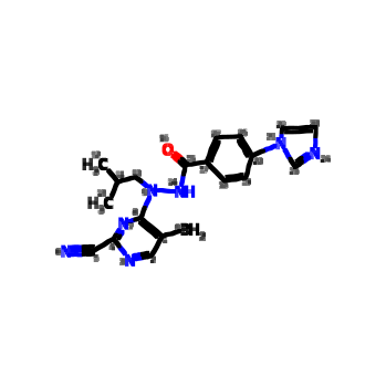 Bc1cnc(C#N)nc1N(CC(C)C)NC(=O)c1ccc(-n2ccnc2)cc1